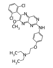 CCN(CC)CCOc1ccc(Nc2ncc3nc(-c4c(Cl)cccc4Cl)c(OC)nc3n2)cc1